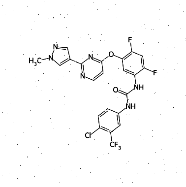 Cn1cc(-c2nccc(Oc3cc(NC(=O)Nc4ccc(Cl)c(C(F)(F)F)c4)c(F)cc3F)n2)cn1